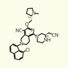 CN1CCC[C@H]1COc1nc(N2CCN[C@H](CC#N)C2)c2c(c1C#N)CN(c1cccc3cccc(Cl)c13)CC2